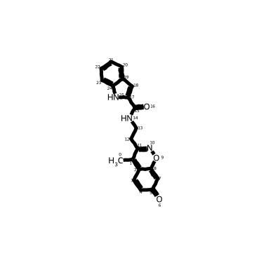 Cc1c2ccc(=O)cc-2onc1CCNC(=O)c1cc2ccccc2[nH]1